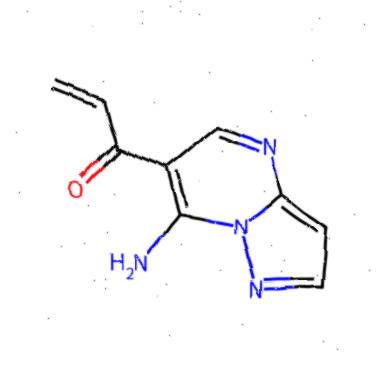 C=CC(=O)c1cnc2ccnn2c1N